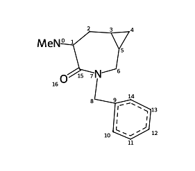 CNC1CC2CC2CN(Cc2ccccc2)C1=O